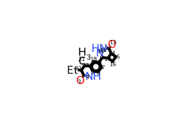 CCC1C(=O)Nc2ccc(C3=NNC(=O)C4CCC34)cc2C1C